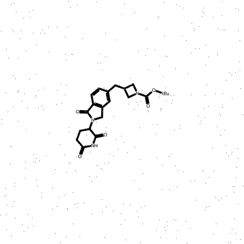 CC(C)(C)OC(=O)N1CC(Cc2ccc3c(c2)CN(C2CCC(=O)NC2=O)C3=O)C1